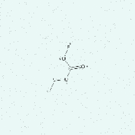 CCOC(=O)OF